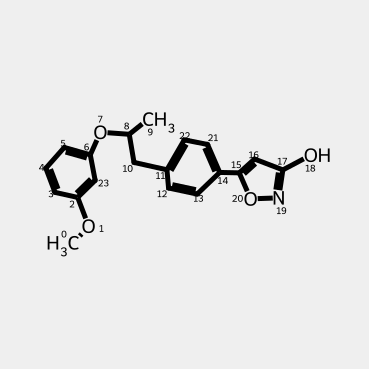 COc1cccc(OC(C)Cc2ccc(-c3cc(O)no3)cc2)c1